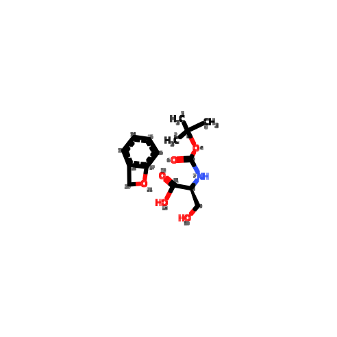 CC(C)(C)OC(=O)N[C@@H](CO)C(=O)O.c1ccc2c(c1)CO2